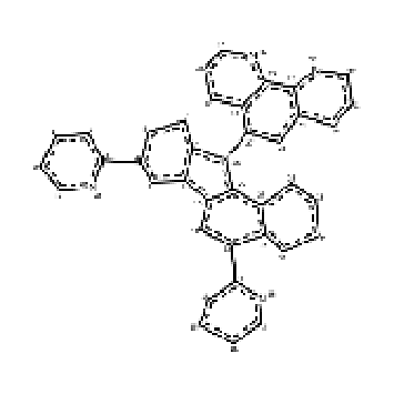 c1ccc(-c2ccc3c(c2)c2cc(-c4ccccn4)c4ccccc4c2n3-c2cc3cccnc3c3ncccc23)nc1